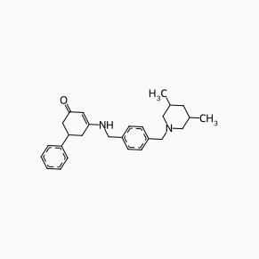 CC1CC(C)CN(Cc2ccc(CNC3=CC(=O)CC(c4ccccc4)C3)cc2)C1